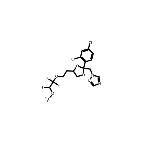 FC(OC(F)(F)F)C(F)(F)OCCC1COC(Cn2cncn2)(c2ccc(Cl)cc2Cl)O1